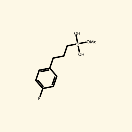 CO[Si](O)(O)CCCc1ccc(F)cc1